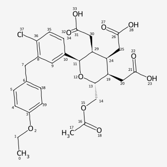 CCOc1ccc(Cc2cc([C@@H]3O[C@@H](COC(C)=O)[C@H](CC(=O)O)[C@H](CC(=O)O)[C@@H]3CC(=O)O)ccc2Cl)cc1